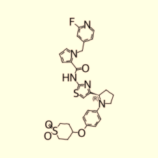 O=C(Nc1nc([C@H]2CCCN2c2ccc(OC3CCS(=O)(=O)CC3)cc2)cs1)c1cccn1Cc1ccnc(F)c1